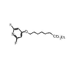 CCOC(=O)CCCCCCOc1cc(F)nc(F)c1